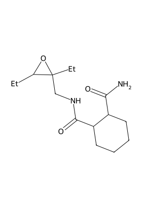 CCC1OC1(CC)CNC(=O)C1CCCCC1C(N)=O